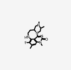 Cc1cc2c3c(nc(=O)n2C)N2CC(C)N(C)CC2CCNc3c1F